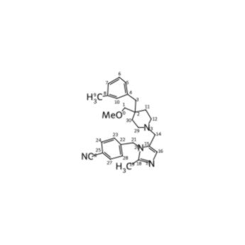 COCC1(Cc2cccc(C)c2)CCN(Cc2cnc(C)n2Cc2ccc(C#N)cc2)CC1